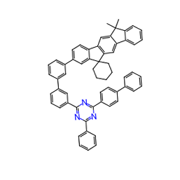 CC1(C)c2ccccc2-c2cc3c(cc21)-c1ccc(-c2cccc(-c4cccc(-c5nc(-c6ccccc6)nc(-c6ccc(-c7ccccc7)cc6)n5)c4)c2)cc1C31CCCCC1